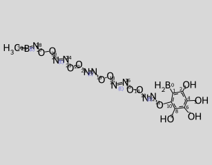 Bc1c(O)c(O)c(O)c(O)c1O/N=N/OO/N=N/OO/N=N/OO/N=N/OO/N=B/C